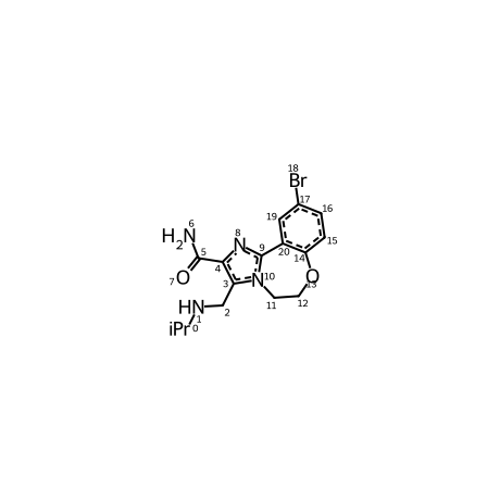 CC(C)NCc1c(C(N)=O)nc2n1CCOc1ccc(Br)cc1-2